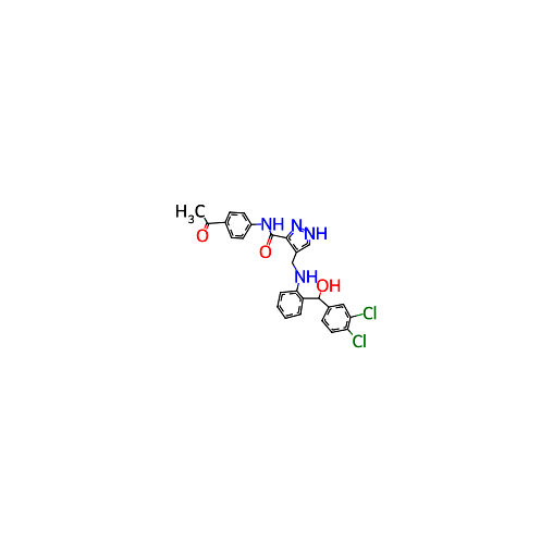 CC(=O)c1ccc(NC(=O)c2n[nH]cc2CNc2ccccc2C(O)c2ccc(Cl)c(Cl)c2)cc1